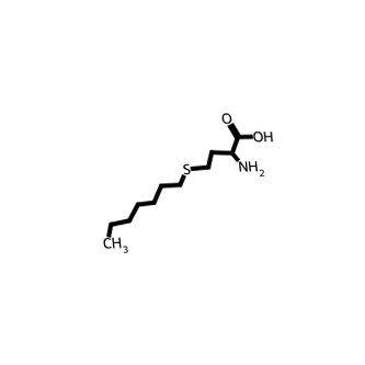 CCCCCCCSCCC(N)C(=O)O